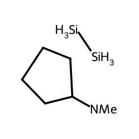 CNC1CCCC1.[SiH3][SiH3]